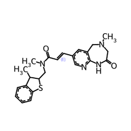 CC1c2ccccc2SC1CN(C)C(=O)/C=C/c1cnc2c(c1)CN(C)CC(=O)N2